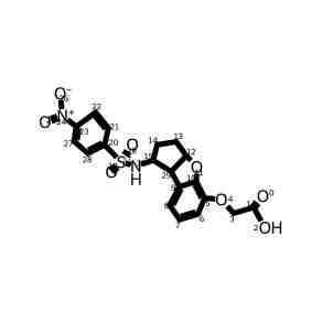 O=C(O)COc1cccc2c1OC1CCC(NS(=O)(=O)c3ccc([N+](=O)[O-])cc3)C21